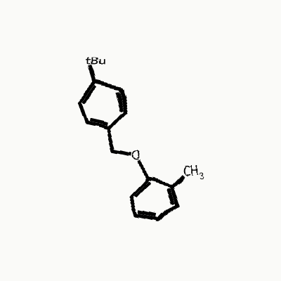 Cc1ccccc1OCc1ccc(C(C)(C)C)cc1